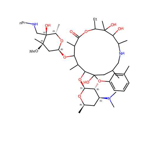 CCCNC[C@]1(O)[C@H](C)O[C@@H](OC2C(C)C(=O)OC(CC)C(C)(O)C(O)C(C)NCC(C)CC(C)(O)C(O[C@@H]3O[C@H](C)C[C@H](N(C)C)[C@H]3Oc3cccc(C)c3)C2C)C[C@@]1(C)OC